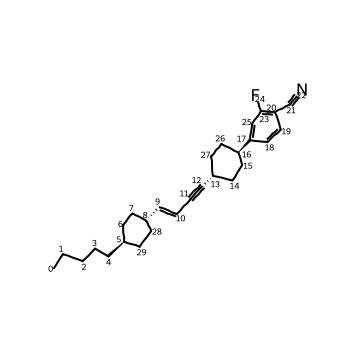 CCCCC[C@H]1CC[C@H](C=CC#C[C@H]2CC[C@H](c3ccc(C#N)c(F)c3)CC2)CC1